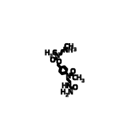 CNCCN(C)C(=O)OCc1ccc(N(CCNC(N)=O)C(C)=O)cc1